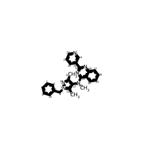 Cc1nn(Cc2ccccc2)c(C)c1N(C)c1nc(-c2cccnc2)nc2ccccc12